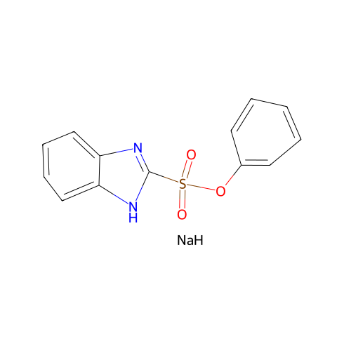 O=S(=O)(Oc1ccccc1)c1nc2ccccc2[nH]1.[NaH]